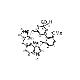 COc1cccc(OC)c1C1=CC(C)(C(=O)O)CC(C(=O)O)=C1.Cn1ccc2cc(CN3CCCC3=O)ccc21